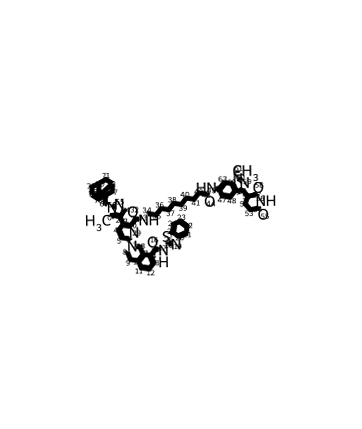 Cc1c(-c2ccc(N3CCc4cccc(C(=O)Nc5nc6ccccc6s5)c4C3)nc2C(=O)NCCCCCCCCCC(=O)Nc2ccc3c(C4CCC(=O)NC4=O)nn(C)c3c2)cnn1CC12CC3CC(CC(C3)C1)C2